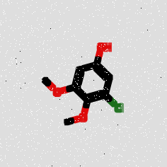 COc1cc(O)cc(Cl)c1OC